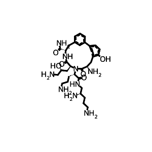 NCCC[C@H](N)CNC(=O)[C@H](CCCN)N1C(=O)[C@@H](N)Cc2cc(ccc2O)-c2cccc(c2)C[C@@H](C(N)=O)NC(=O)[C@@H]1C[C@@H](O)CN